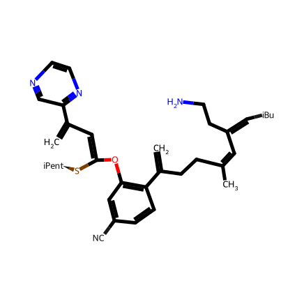 C=C(/C=C(/Oc1cc(C#N)ccc1C(=C)CC/C(C)=C\C(=C/C(C)CC)CCN)S[C@H](C)CCC)c1cnccn1